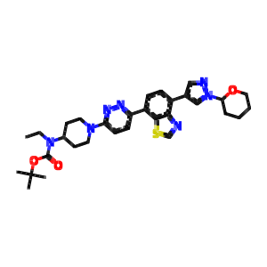 CCN(C(=O)OC(C)(C)C)C1CCN(c2ccc(-c3ccc(-c4cnn(C5CCCCO5)c4)c4ncsc34)nn2)CC1